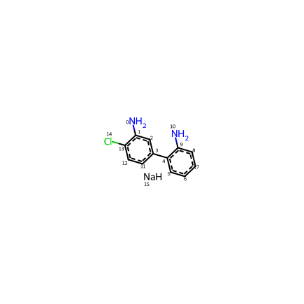 Nc1cc(-c2cc[c]cc2N)ccc1Cl.[NaH]